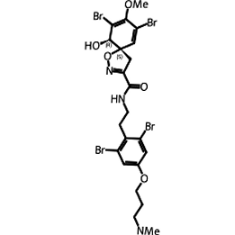 CNCCCOc1cc(Br)c(CCNC(=O)C2=NO[C@]3(C=C(Br)C(OC)=C(Br)[C@@H]3O)C2)c(Br)c1